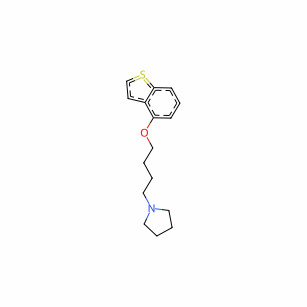 c1cc(OCCCCN2CCCC2)c2ccsc2c1